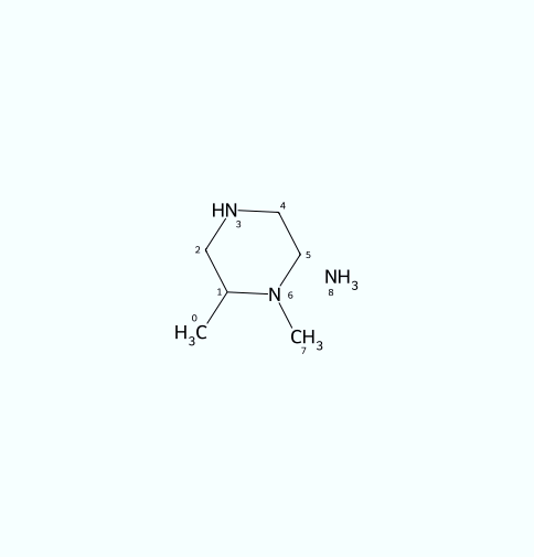 CC1CNCCN1C.N